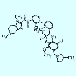 COc1c(CN2CCC(C)C2)cc(Cl)c(NC(c2cccc(-c3cccc(NC(=O)c4nc5c(n4C)CCN(C)C5)c3Cl)c2C)C(F)(F)F)c1F